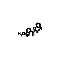 Cn1ncc2c(NC(=NC#N)Oc3ccccc3)cccc21